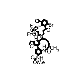 CCOP(=O)(CC(=O)N(CCC(=O)c1c(Br)ccc(Cl)c1F)[C@H]1CCC[C@@H](C)C(=O)Nc2cc(NC(=O)OC)ccc2-c2cc1nc1c2OCC1)OCC